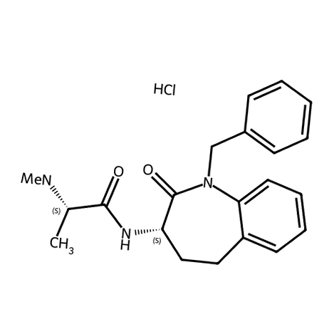 CN[C@@H](C)C(=O)N[C@H]1CCc2ccccc2N(Cc2ccccc2)C1=O.Cl